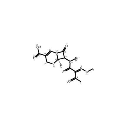 CON=C(C(C)=O)C(=O)N(Br)C1C(=O)N2C=C(C(=O)O)CS[C@H]12